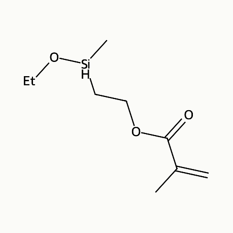 C=C(C)C(=O)OCC[SiH](C)OCC